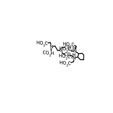 O=C(O)CN(CC(=O)O)C1CCCCC1N(CC(=O)O)CC(=O)O.O=C(O)CN(CCN(CC(=O)O)CC(=O)O)CC(=O)O